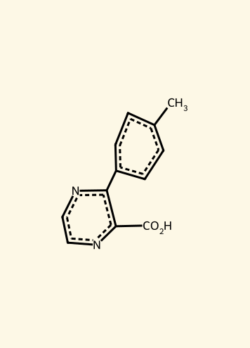 Cc1ccc(-c2nccnc2C(=O)O)cc1